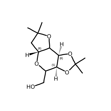 CC1(C)C[C@H]2OC(CO)[C@@H]3OC(C)(C)O[C@@H]3C2O1